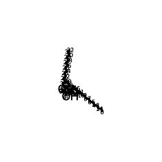 CCCCCCCCCCCCc1ccc(Oc2ccc(CCCCCCCCCCCC)cc2)cc1.OCCO